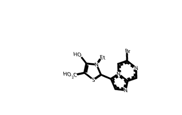 CCN1C(O)=C(C(=O)O)SC1c1cnc2cnc(Br)cn12